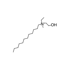 CCCCCCCCCCCC[N+](C)(CC)CCO